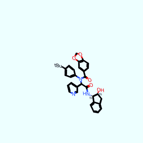 CC(C)(C)c1ccc(N(C(=O)c2ccc3c(c2)OCO3)C(C(=O)N[C@H]2c3ccccc3C[C@@H]2O)c2cccnc2)cc1